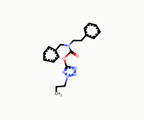 CCCn1nnc(OC(=O)N(CCc2ccccc2)Cc2ccccc2)n1